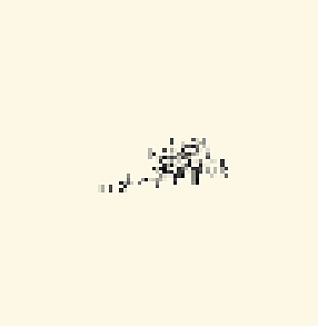 CCOC(=O)CCCCCNC(=O)[C@H](CCC(=O)N(CCNC(=O)OC(C)(C)C)CCNC(=O)OC(C)(C)C)NC(=O)OC(C)(C)C